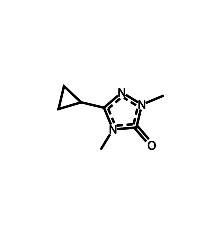 Cn1nc(C2CC2)n(C)c1=O